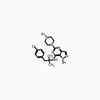 CC(=O)N1CCN(c2nc(NC(C)(C)Cc3ccc(Cl)cc3)c3c(cnn3C(C)C)n2)CC1